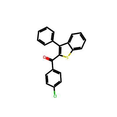 O=C(c1ccc(Cl)cc1)c1sc2ccccc2c1-c1ccccc1